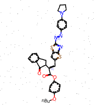 CCCCOc1ccc(OC(=O)/C(=C/c2cc3sc(/N=N/c4ccc(N5CCCC5)cc4)nc3s2)C2Cc3ccccc3C2=O)cc1